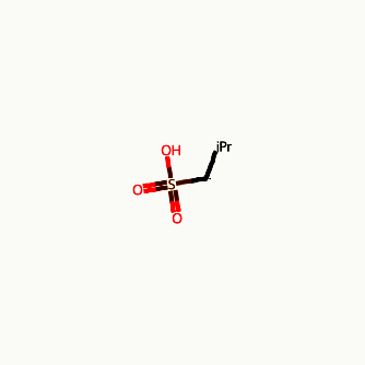 CC(C)[CH]S(=O)(=O)O